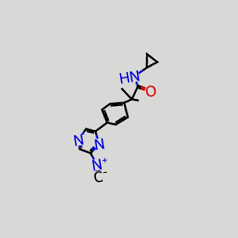 [C-]#[N+]c1cncc(-c2ccc(C(C)(C)C(=O)NC3CC3)cc2)n1